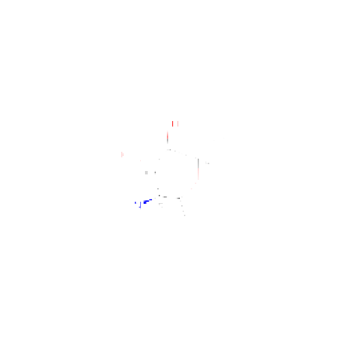 CC(C)[C@@H]1OC(C)[C@@H](N)[C@H](O)C1O